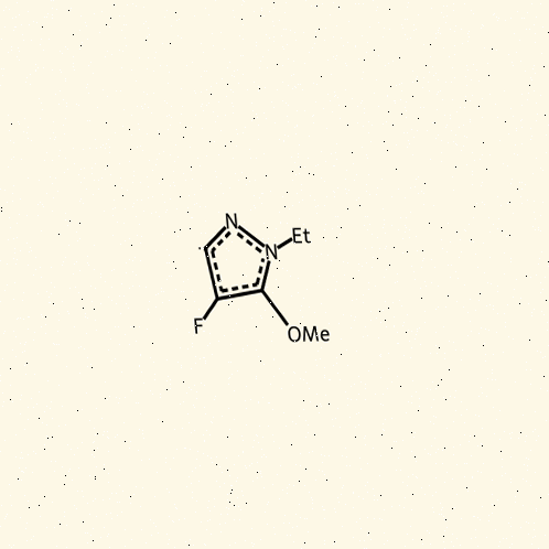 CCn1n[c]c(F)c1OC